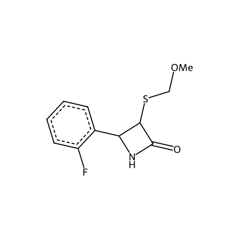 COCSC1C(=O)NC1c1ccccc1F